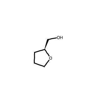 OC[C@@H]1CC[CH]O1